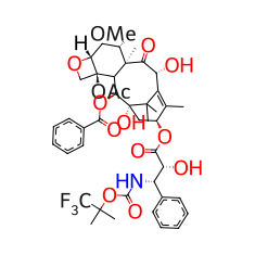 CO[C@H]1C[C@H]2OC[C@@]2(OC(C)=O)C2[C@H](OC(=O)c3ccccc3)[C@]3(O)C[C@H](OC(=O)[C@H](O)[C@@H](NC(=O)OC(C)(C)C(F)(F)F)c4ccccc4)C(C)=C([C@@H](O)C(=O)[C@@]21C)C3(C)C